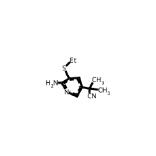 CCSc1cc(C(C)(C)C#N)cnc1N